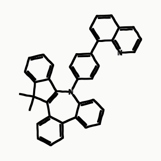 CC1(C)C2=C(c3ccccc31)N(c1ccc(-c3cccc4cccnc34)cc1)c1ccccc1-c1ccccc12